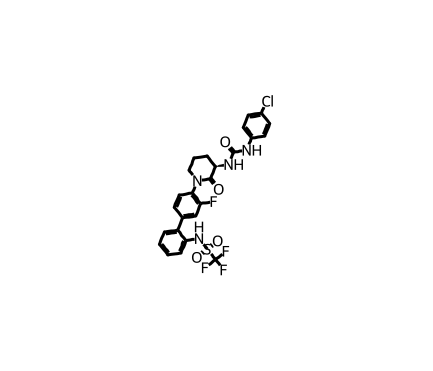 O=C(Nc1ccc(Cl)cc1)N[C@@H]1CCCN(c2ccc(-c3ccccc3NS(=O)(=O)C(F)(F)F)cc2F)C1=O